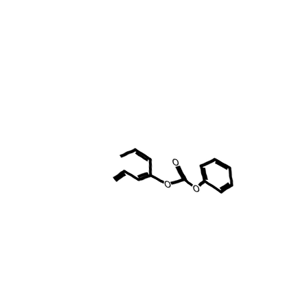 C=C/C=C(\C=C/C)OC(=O)Oc1ccccc1